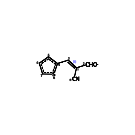 N#C/C([C]=O)=C\c1cccs1